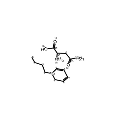 CCCCN1C=CC=CC1.NC(=O)CC(N)C(=O)O